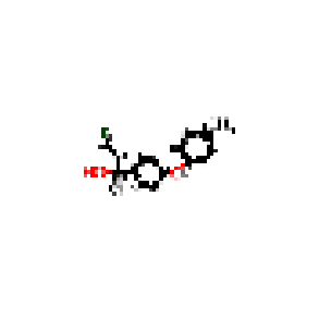 Cc1ccc(Oc2ccc(C(C)(O)CCF)cc2)cc1